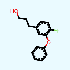 OCCCc1ccc(F)c(Oc2ccccc2)c1